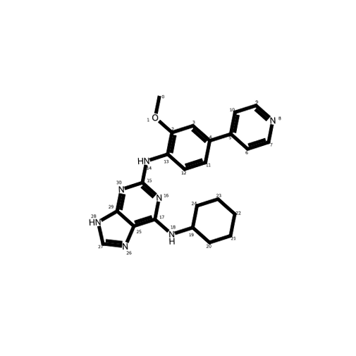 COc1cc(-c2ccncc2)ccc1Nc1nc(NC2CCCCC2)c2nc[nH]c2n1